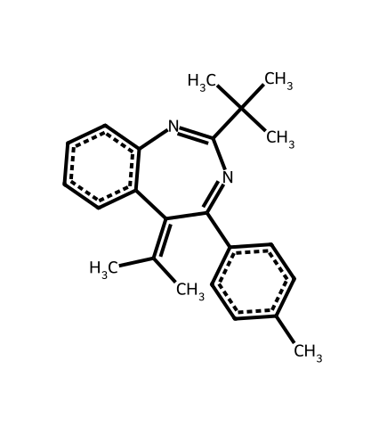 CC(C)=C1C(c2ccc(C)cc2)=NC(C(C)(C)C)=Nc2ccccc21